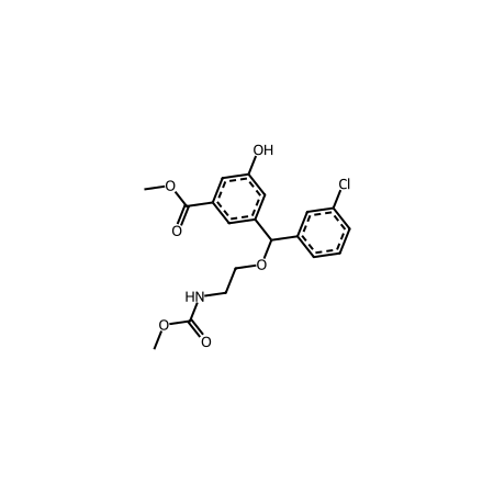 COC(=O)NCCOC(c1cccc(Cl)c1)c1cc(O)cc(C(=O)OC)c1